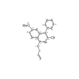 C=CCOc1nc(C#N)c(-c2ccccc2)c2cc(OC)ccc12